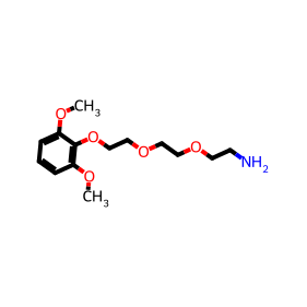 COc1cccc(OC)c1OCCOCCOCCN